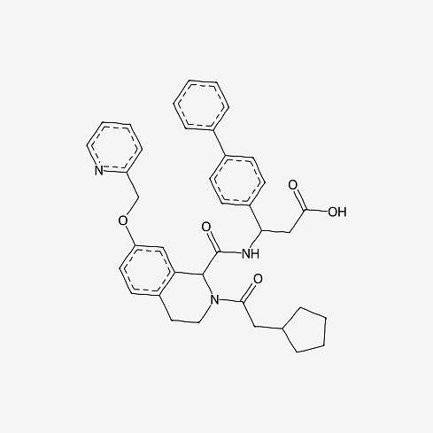 O=C(O)CC(NC(=O)C1c2cc(OCc3ccccn3)ccc2CCN1C(=O)CC1CCCC1)c1ccc(-c2ccccc2)cc1